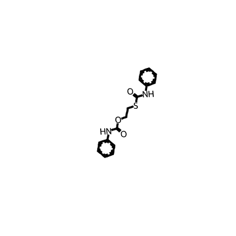 O=C(Nc1ccccc1)OCCSC(=O)Nc1ccccc1